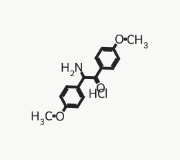 COc1ccc(C(=O)C(N)c2ccc(OC)cc2)cc1.Cl